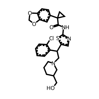 O=C(Nc1ncc(C(CN2CCCC(CO)C2)c2ccccc2Cl)s1)C1(c2ccc3c(c2)OCO3)CC1